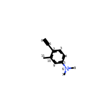 C#Cc1ccc(N(C)C)cc1C